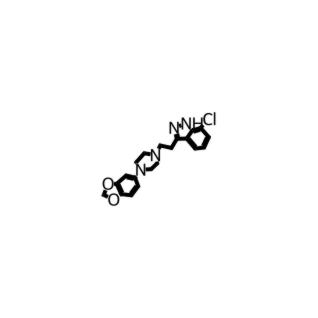 Clc1cccc2c(CCN3CCN(c4ccc5c(c4)OCO5)CC3)n[nH]c12